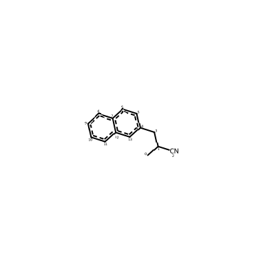 CC(C#N)Cc1ccc2ccccc2c1